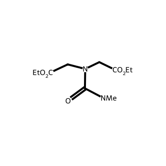 CCOC(=O)CN(CC(=O)OCC)C(=O)NC